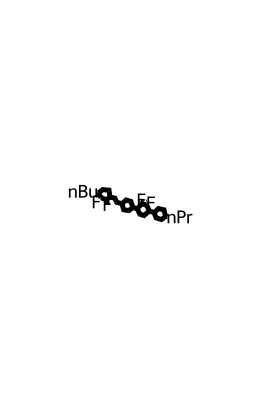 CCCCC1CCC(CCC2CCC(C3CCC(C4CCC(CCC)CC4)C(F)[C@H]3F)CC2)C(F)C1F